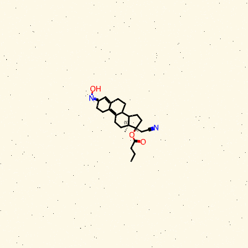 CCCC(=O)O[C@@]1(CC#N)CCC2C3CCC4=CC(=NO)CCC4=C3CC[C@@]21C